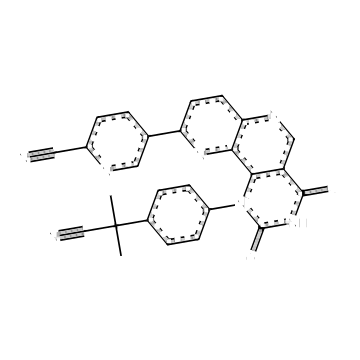 CC(C)(C#N)c1ccc(-n2c(=O)[nH]c(=O)c3cnc4ccc(-c5ccc(C#N)nc5)nc4c32)cc1